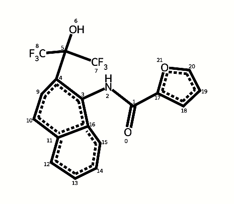 O=C(Nc1c(C(O)(C(F)(F)F)C(F)(F)F)ccc2ccccc12)c1ccco1